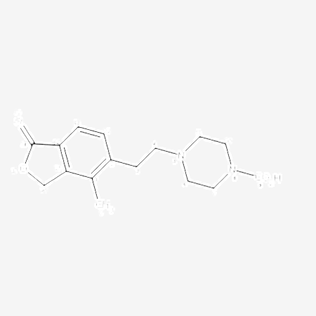 Cc1c(CCN2CCN(C(=O)O)CC2)ccc2c1COC2=O